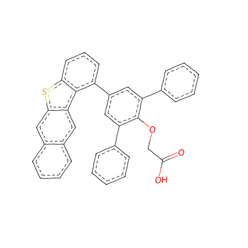 O=C(O)COc1c(-c2ccccc2)cc(-c2cccc3sc4cc5ccccc5cc4c23)cc1-c1ccccc1